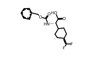 O=C(N[C@H](C(=O)O)C1CCC(=C(F)F)CC1)OCc1ccccc1